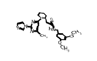 COc1cc(CNC(=O)CC2CCCCN2c2cc(C)nc(-n3ccnc3)n2)cc(OC)c1